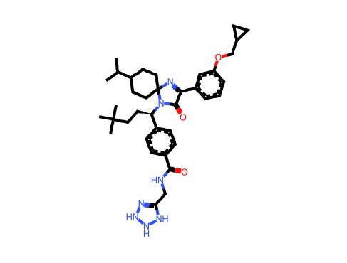 CC(C)C1CCC2(CC1)N=C(c1cccc(OCC3CC3)c1)C(=O)N2[C@H](CCC(C)(C)C)c1ccc(C(=O)NCC2=NNNN2)cc1